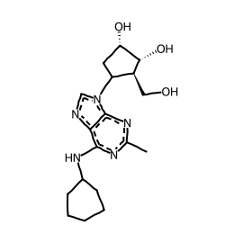 Cc1nc(NC2CCCCC2)c2ncn(C3C[C@H](O)[C@H](O)[C@H]3CO)c2n1